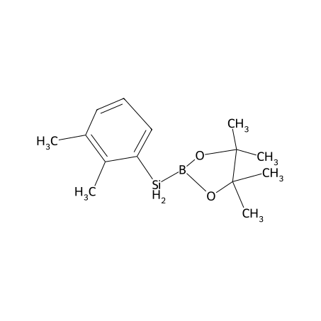 Cc1cccc([SiH2]B2OC(C)(C)C(C)(C)O2)c1C